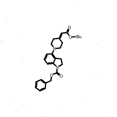 CC(C)(C)OC(=O)C=C1CCN(c2cccc3c2CCN3C(=O)OCc2ccccc2)CC1